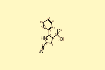 N#CC1CC(C(=O)O)C(c2ccccn2)N1